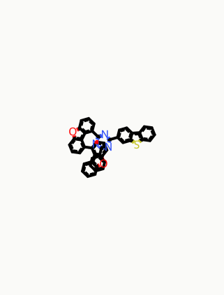 C1=CCCC(c2nc(-c3ccc4c(c3)sc3ccccc34)nc(-c3cccc4oc5cccc(-c6cccc7oc8ccccc8c67)c5c34)n2)=C1